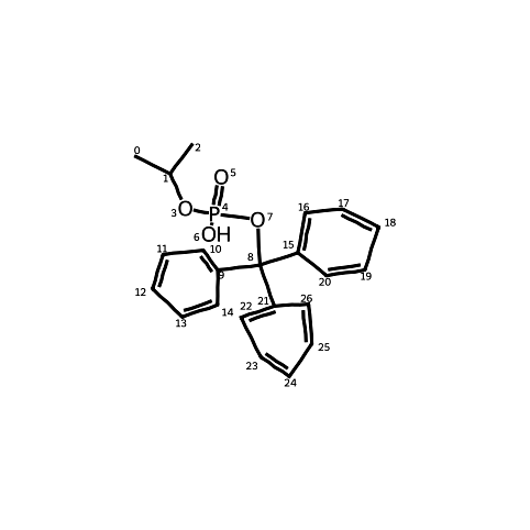 CC(C)OP(=O)(O)OC(c1ccccc1)(c1ccccc1)c1ccccc1